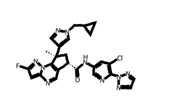 C[C@]1(c2cnn(CC3CC3)c2)C[C@H](C(=O)Nc2cnc(-n3nccn3)c(Cl)c2)c2cnc3cc(F)nn3c21